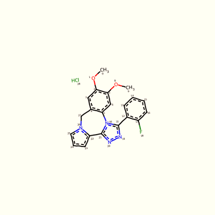 COc1cc2c(cc1OC)-n1c(-c3ccccc3F)nnc1-c1cccn1C2.Cl